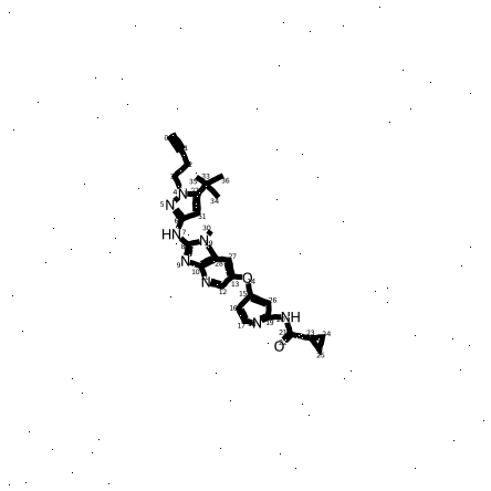 C#CCCn1nc(Nc2nc3ncc(Oc4ccnc(NC(=O)C5CC5)c4)cc3n2C)cc1C(C)(C)C